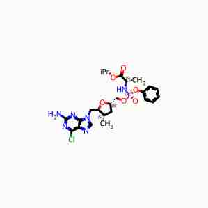 CC(C)OC(=O)[C@H](C)N[P@@](=O)(OC[C@@H]1C[C@H](C)C(Cn2cnc3c(Cl)nc(N)nc32)O1)Oc1ccccc1